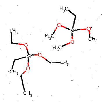 CCO[Si](CC)(OCC)OCC.CC[Si](OC)(OC)OC